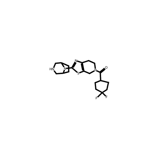 O=C(C1CCC(F)(F)CC1)N1CCc2nc(N3C4CCC3CNC4)sc2C1